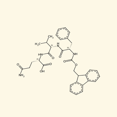 CC(C)[C@H](NC(=O)[C@H](Cc1ccccc1)NC(=O)OCC1c2ccccc2-c2ccccc21)C(=O)N[C@@H](CCC(N)=O)C(=O)O